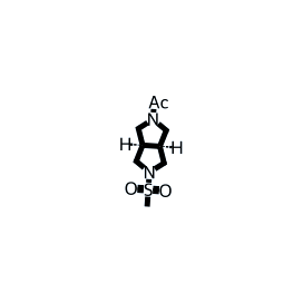 CC(=O)N1C[C@@H]2CN(S(C)(=O)=O)C[C@@H]2C1